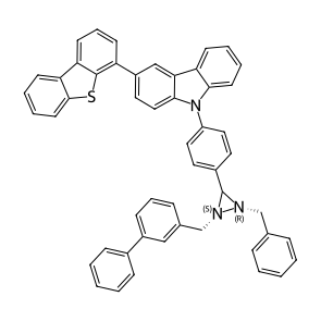 c1ccc(C[N@@]2C(c3ccc(-n4c5ccccc5c5cc(-c6cccc7c6sc6ccccc67)ccc54)cc3)[N@@]2Cc2cccc(-c3ccccc3)c2)cc1